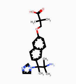 CC(C)(COc1ccc2cc(C(C)(n3ccnc3)C(C)(C)N)ccc2c1)C(=O)O